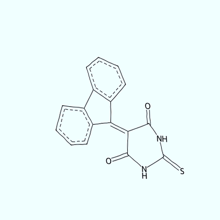 O=C1NC(=S)NC(=O)C1=C1c2ccccc2-c2ccccc21